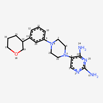 Nc1ncc(N2CCN(c3cccc(C4CCCOC4)c3)CC2)c(N)n1